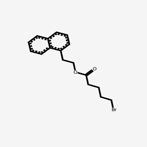 O=C(CCCCBr)OCCc1cccc2ccccc12